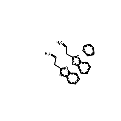 C=CCc1nc2ccccc2o1.C=CCc1nc2ccccc2o1.c1ccccc1